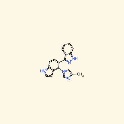 Cc1cn(-c2c(-c3n[nH]c4ccccc34)ccc3[nH]ccc23)cn1